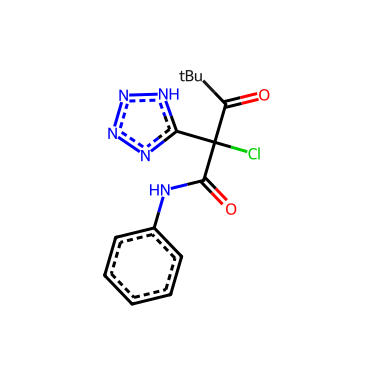 CC(C)(C)C(=O)C(Cl)(C(=O)Nc1ccccc1)c1nnn[nH]1